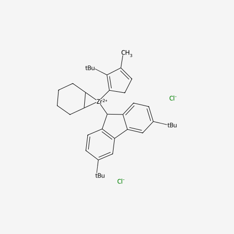 CC1=CC[C]([Zr+2]2([CH]3c4ccc(C(C)(C)C)cc4-c4cc(C(C)(C)C)ccc43)[CH]3CCCC[CH]32)=C1C(C)(C)C.[Cl-].[Cl-]